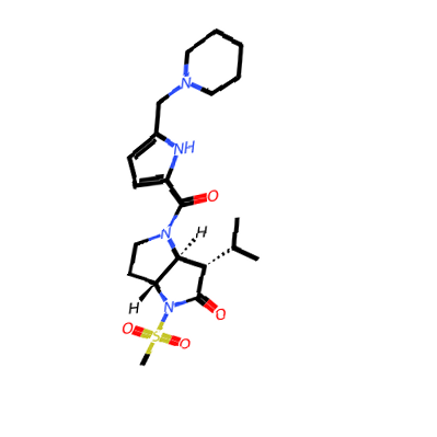 CC(C)[C@@H]1C(=O)N(S(C)(=O)=O)[C@@H]2CCN(C(=O)c3ccc(CN4CCCCC4)[nH]3)[C@H]21